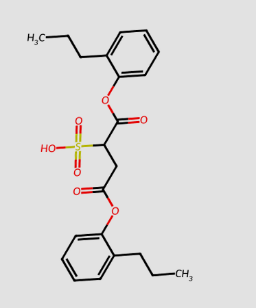 CCCc1ccccc1OC(=O)CC(C(=O)Oc1ccccc1CCC)S(=O)(=O)O